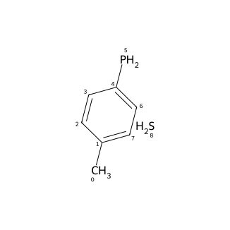 Cc1ccc(P)cc1.S